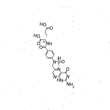 C[SH](C)(=O)N(Cc1cnc2[nH]c(N)nc(=O)c2n1)c1ccc(C(=O)N[C@@H](CCC(=O)O)C(=O)O)cc1